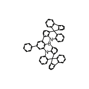 c1ccc(-c2cc3c4c(c2)N2c5ccccc5C5(c6ccccc6-c6ccccc65)c5cccc(c52)B4N2c4ccccc4C4(c5ccccc5-c5ccccc54)c4cccc-3c42)cc1